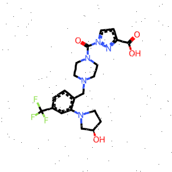 O=C(O)c1ccn(C(=O)N2CCN(Cc3ccc(C(F)(F)F)cc3N3CC[C@@H](O)C3)CC2)n1